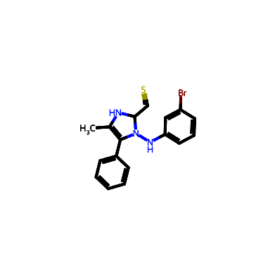 CC1=C(c2ccccc2)N(Nc2cccc(Br)c2)C(C=S)N1